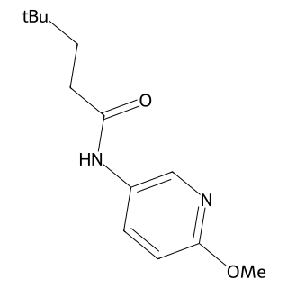 COc1ccc(NC(=O)CCC(C)(C)C)cn1